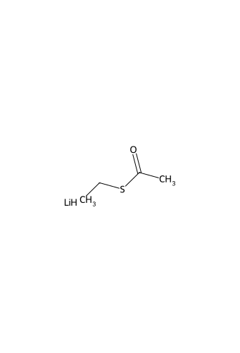 CCSC(C)=O.[LiH]